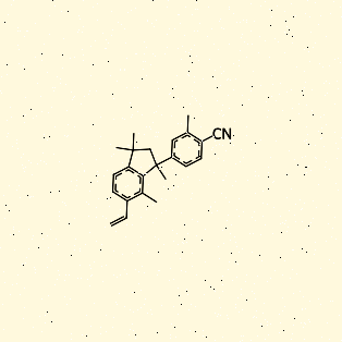 C=Cc1ccc2c(c1C)C(C)(c1ccc(C#N)c(C)c1)CC2(C)C